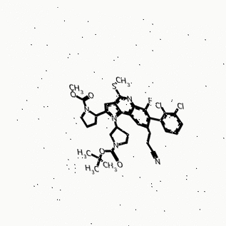 COC(=O)N1CCCC1c1cc2c(SC)nc3c(F)c(-c4cccc(Cl)c4Cl)c(CCC#N)cc3c2n1C1CCN(C(=O)OC(C)(C)C)C1